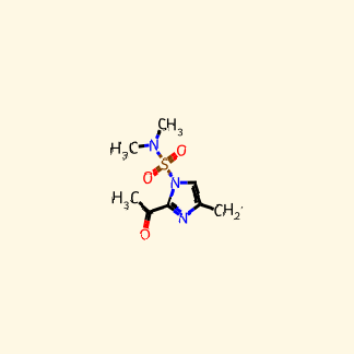 [CH2]c1cn(S(=O)(=O)N(C)C)c(C(C)=O)n1